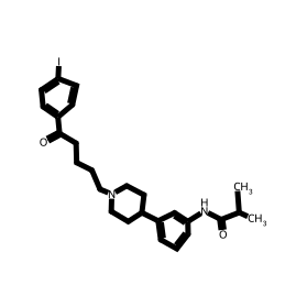 CC(C)C(=O)Nc1cccc(C2CCN(CCCCC(=O)c3ccc(I)cc3)CC2)c1